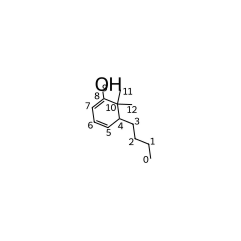 CCCCC1C=CC=C(O)C1(C)C